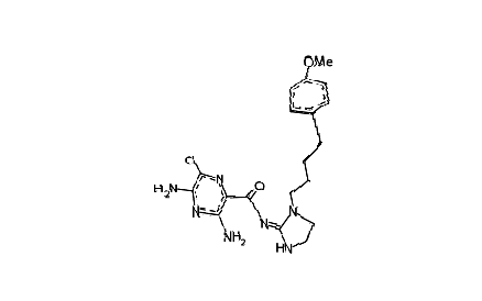 COc1ccc(CCCCN2CCN/C2=N/C(=O)c2nc(Cl)c(N)nc2N)cc1